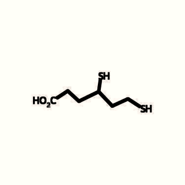 O=C(O)CCC(S)CCS